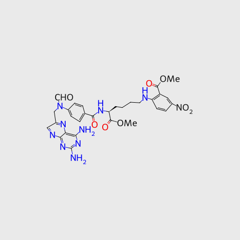 COC(=O)c1cc([N+](=O)[O-])ccc1NCCCC[C@H](NC(=O)c1ccc(N(C=O)Cc2cnc3nc(N)nc(N)c3n2)cc1)C(=O)OC